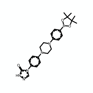 CC1(C)OB(c2ccc(N3CCN(c4ccc(-n5cn[nH]c5=O)cc4)CC3)cc2)OC1(C)C